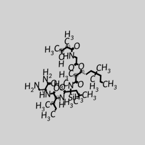 CCCC(C)(C)CC[C@@H](OC(=O)CNC(=O)[C@@H](C)[C@H](C)O)[C@@H](C)C(=O)N(C)C([SiH3])(CC(C)C)C(=O)N[C@H](C(=O)N[C@@H](CN)C(N)=O)[C@H](C)CC